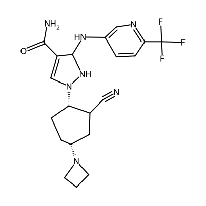 N#CC1C[C@H](N2CCC2)CC[C@@H]1N1C=C(C(N)=O)C(Nc2ccc(C(F)(F)F)nc2)N1